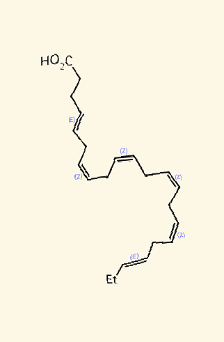 CC/C=C/C/C=C\C/C=C\C/C=C\C/C=C\C/C=C/CCC(=O)O